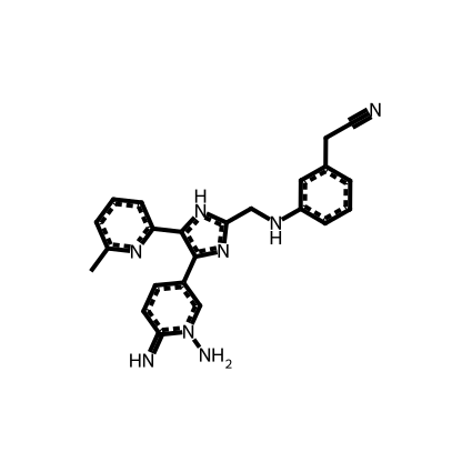 Cc1cccc(-c2[nH]c(CNc3cccc(CC#N)c3)nc2-c2ccc(=N)n(N)c2)n1